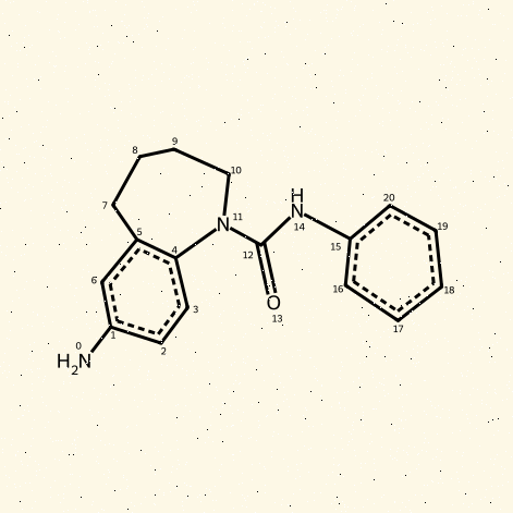 Nc1ccc2c(c1)CCCCN2C(=O)Nc1ccccc1